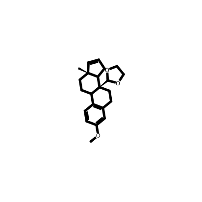 COc1ccc2c(c1)CC[C@]1(C3OCCO3)C2CC[C@]2(C)C=CCC12